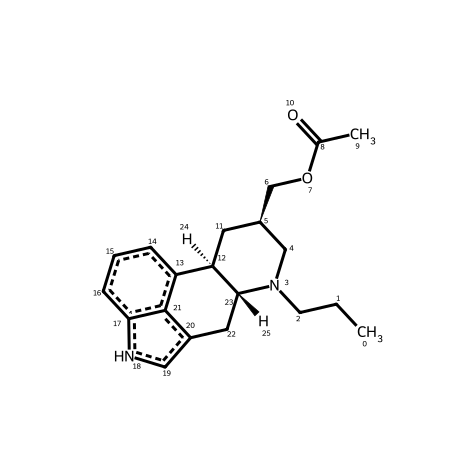 CCCN1C[C@H](COC(C)=O)C[C@@H]2c3cccc4[nH]cc(c34)C[C@H]21